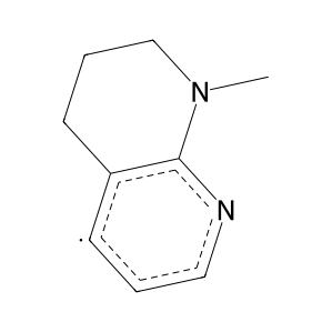 CN1CCCc2[c]ccnc21